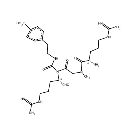 CN(CC(=O)N(C(=O)NCCc1ccc(C(=O)O)cc1)[C@H](C=O)CCCNC(=N)N)C(=O)[C@@H](N)CCCNC(=N)N